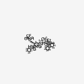 CCOC(C)OC1C[C@H](n2cc(C#CCNC(=O)C(F)(F)F)c(NC(=O)c3ccccc3)nc2=O)O[C@@H]1CO[Si](c1ccccc1)(c1ccccc1)C(C)(C)C